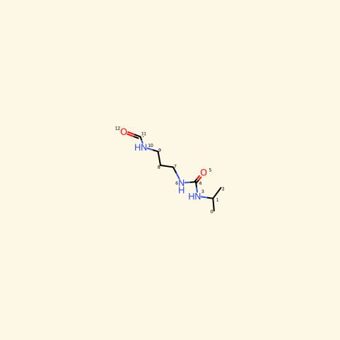 CC(C)NC(=O)NCCCN[C]=O